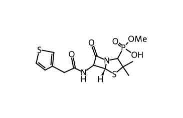 COP(=O)(O)C1N2C(=O)C(NC(=O)Cc3ccsc3)[C@H]2SC1(C)C